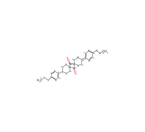 CCCc1ccc(C2CCC3(CC2)C(=O)C2(CCC(c4ccc(CCC)cc4)CC2)C3=O)cc1